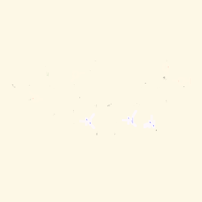 CCOc1cc(CN2CCC(n3c(C)nc4cc(C(=O)O)ccc43)CC2)cc(OCC)c1Br